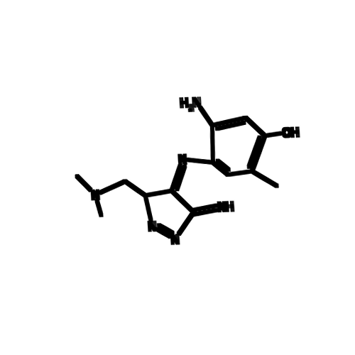 Cc1cc(N=C2C(=N)N=NC2CN(C)C)c(N)cc1O